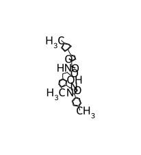 Cc1ccc(-c2ccc(C(=O)NC(Cc3ccc(C)c(-c4noc(-c5ccc(C)cc5)n4)c3)C(=O)O)o2)cc1